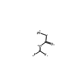 CC(C)CC(=O)OC(F)F